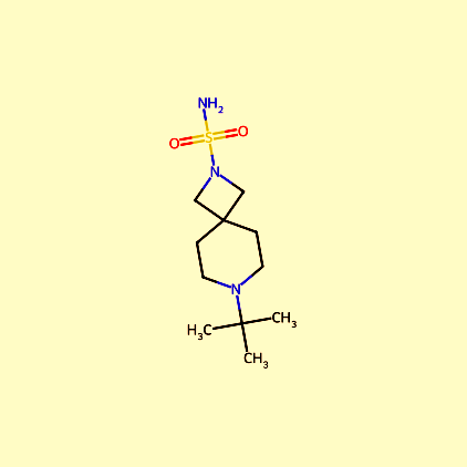 CC(C)(C)N1CCC2(CC1)CN(S(N)(=O)=O)C2